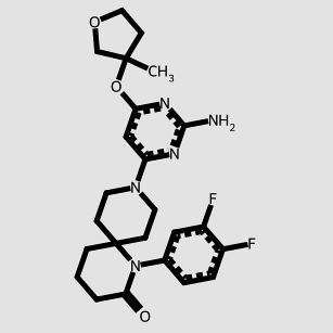 CC1(Oc2cc(N3CCC4(CCCC(=O)N4c4ccc(F)c(F)c4)CC3)nc(N)n2)CCOC1